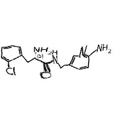 Nc1ccc(CNC(=O)[C@@H](N)Cc2ccccc2Cl)cn1